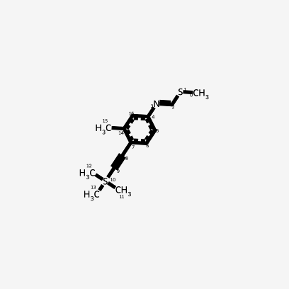 CS/C=N/c1ccc(C#CS(C)(C)C)c(C)c1